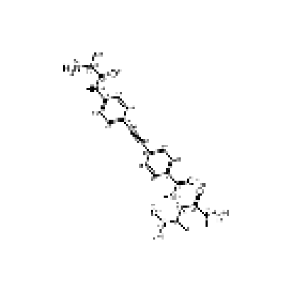 CC[S+]([O-])C(C)[C@H](NC(=O)c1ccc(C#Cc2ccc(NC(=O)[C@H](C)N)cc2)cc1)C(=O)NO